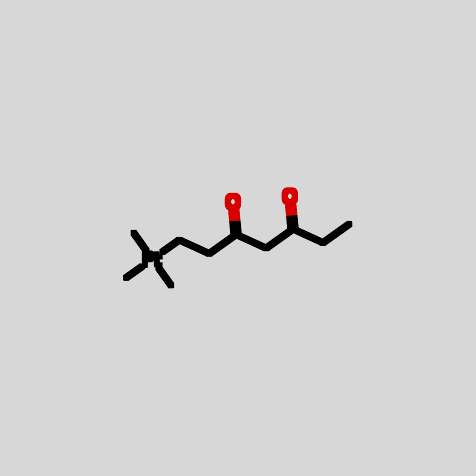 CCC(=O)CC(=O)C[CH2][Pt]([CH3])([CH3])[CH3]